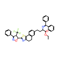 CCOC(=O)C(CCc1ccc2c(c1)CCc1nc(C3ON=C(c4ccccc4)C3C(F)(F)F)sc1-2)N=C(c1ccccc1)c1ccccc1